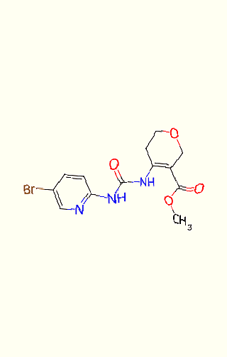 COC(=O)C1=C(NC(=O)Nc2ccc(Br)cn2)CCOC1